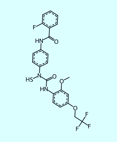 COc1cc(OCC(F)(F)F)ccc1NC(=O)N(S)c1ccc(NC(=O)c2ccccc2F)cc1